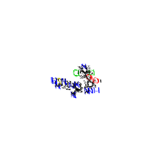 COc1cc2[nH]nc(-c3cnc(N4CC(N)(Cc5nccs5)C4)c(C#N)c3)c2cc1O[C@H](C)c1c(Cl)cncc1Cl